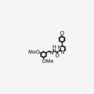 COc1cc(C=NNC(=O)c2nccc(-c3ccc(Cl)cc3)n2)cc(OC)c1